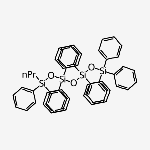 [CH2]CC[Si](O[Si](O[Si](O[Si](c1ccccc1)(c1ccccc1)c1ccccc1)(c1ccccc1)c1ccccc1)(c1ccccc1)c1ccccc1)(c1ccccc1)c1ccccc1